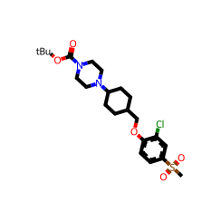 CC(C)(C)OC(=O)N1CCN(C2CCC(COc3ccc(S(C)(=O)=O)cc3Cl)CC2)CC1